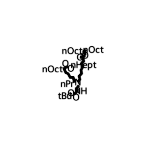 CCCCCCCCC(CCCCCCCC)OC(=O)CCCCCCCN(CCNC(=O)OC(C)(C)C)C(CCC)CCCCC(CCCCCCCC)C(=O)OCCCCCCC